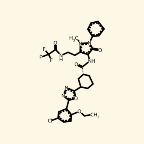 CCOc1ccc(Cl)cc1-c1nnc(C2CCC[C@@H](C(=O)Nc3c(CCNC(=O)C(F)(F)F)n(C)n(-c4ccccc4)c3=O)C2)o1